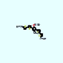 CCCCCCc1ccc(-c2ccc(-c3cc(C(=O)O)c(-c4ccc(-c5ccc(CCCCCC)s5)s4)cc3OC=O)s2)s1